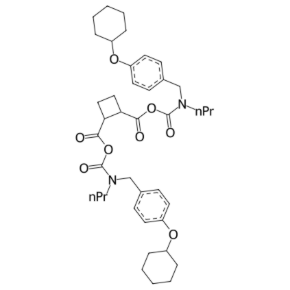 CCCN(Cc1ccc(OC2CCCCC2)cc1)C(=O)OC(=O)C1CCC1C(=O)OC(=O)N(CCC)Cc1ccc(OC2CCCCC2)cc1